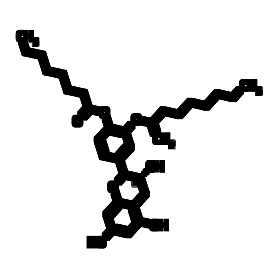 C=C(CCCCCCC)Oc1cc(C2Oc3cc(O)cc(O)c3C[C@H]2O)ccc1OC(=O)CCCCCCC